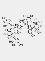 OCC1OC(OC2C(OCC3OC(OC4C(CO)OC(O)C(O)C4O)C(O)C(O)C3OC3OC(COC4OCC(O)C(O)C4O)C(OC4OC(COC5OCC(O)C(O)C5O)C(O)C(O)C4O)C(O)C3O)OCC(O)C2O)C(O)C(O)C1O